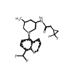 CC1CC(NC(=O)CC2CC2(F)F)CN(c2ccc(C(F)F)c3ncccc23)C1